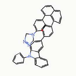 c1ccc(-n2c3ccccc3c3cc(-c4ccc(-c5cccc6cccc(-c7ccc(N8CN=NC8)cc7)c56)cc4)ccc32)cc1